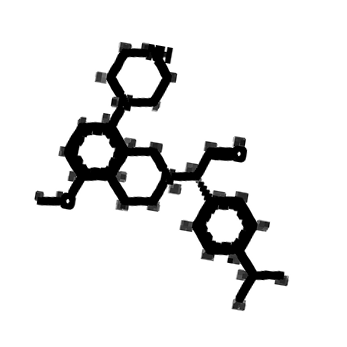 COc1ccc(N2CCNCC2)c2c1CCN([C@H](C=O)c1ccc(C(C)C)cc1)C2